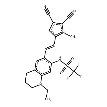 CCN1CCCc2cc(/N=N/c3cc(C#N)c(C#N)n3C)c(NS(=O)(=O)C(F)(F)F)cc21